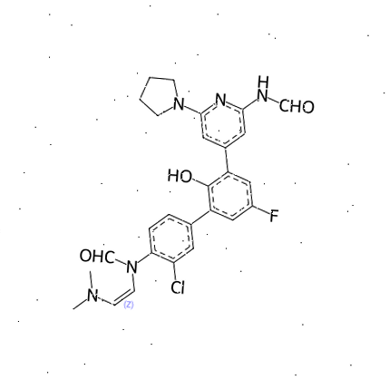 CN(C)/C=C\N(C=O)c1ccc(-c2cc(F)cc(-c3cc(NC=O)nc(N4CCCC4)c3)c2O)cc1Cl